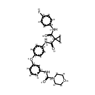 O=C(Nc1cc(Oc2ccc(NC(=O)C3(C(=O)Nc4ccc(F)cc4)CC3)cc2)ccn1)N1CCOCC1